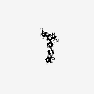 CC1=C(C(=O)N2CCN(c3ccc(-c4cc(-c5cnn(C)c5)cn5ncc(C#N)c45)cn3)CC2)CCC1